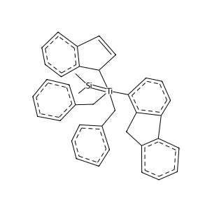 C[Si](C)=[Ti]([CH2]c1ccccc1)([CH2]c1ccccc1)([c]1cccc2c1Cc1ccccc1-2)[CH]1C=Cc2ccccc21